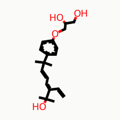 C=C/C(=C\C=C\C(C)(C)c1ccc(OCC(O)CO)cc1)C(C)(C)O